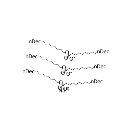 CCCCCCCCCCCCCCCCCCOP(=O)([O-])CCCCCCCCCCCCCCCCCC.CCCCCCCCCCCCCCCCCCOP(=O)([O-])CCCCCCCCCCCCCCCCCC.CCCCCCCCCCCCCCCCCCOP(=O)([O-])CCCCCCCCCCCCCCCCCC.[Nd+3]